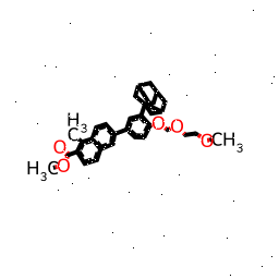 COCCOCOc1ccc(-c2ccc3c(C)c(C(=O)OC)ccc3c2)cc1C12CC3CC(CC(C3)C1)C2